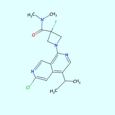 CC(C)c1cnc(N2CC(F)(C(=O)N(C)C)C2)c2cnc(Cl)cc12